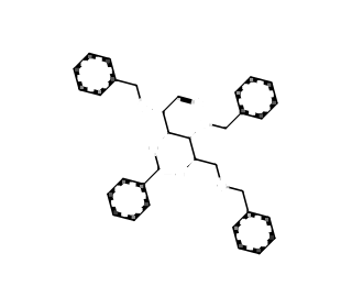 O=C[C@@H](OCc1ccccc1)[C@@H](OCc1ccccc1)[C@H](OCc1ccccc1)[C@H](O)COCc1ccccc1